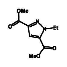 CCn1nc(C(=O)OC)cc1C(=O)OC